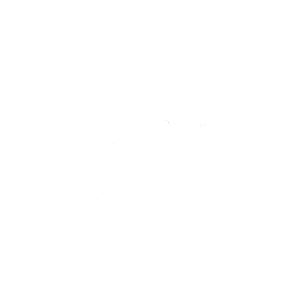 CC1CCCN(C2CCN(C(=O)C(C)C)CC2)C1